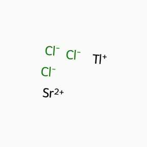 [Cl-].[Cl-].[Cl-].[Sr+2].[Tl+]